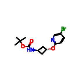 CC(C)(C)OC(=O)N[C@H]1C[C@H](Oc2ccc(Br)cn2)C1